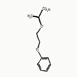 CC(OCCOc1ccccc1)C(=O)O